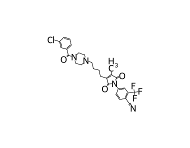 CC1=C(CCCCN2CCN(C(=O)c3cccc(Cl)c3)CC2)C(=O)N(c2ccc(C#N)c(C(F)(F)F)c2)C1=O